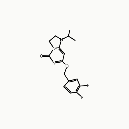 CC(C)N1CCn2c1cc(OCc1ccc(F)c(F)c1)nc2=O